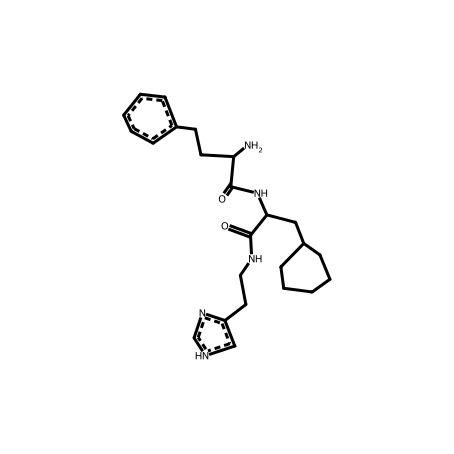 NC(CCc1ccccc1)C(=O)NC(CC1CCCCC1)C(=O)NCCc1c[nH]cn1